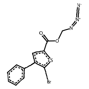 [N-]=[N+]=NCOC(=O)c1cc(-c2ccccc2)c(Br)s1